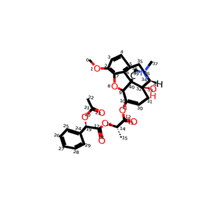 COc1ccc2c3c1OC1C(OC(=O)[C@H](C)OC(=O)[C@@H](OC(C)=O)c4ccccc4)=CC[C@@]4(O)[C@@H](C2)N(C)CCC314